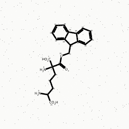 NC(CCCC(N)(C(=O)O)C(=O)OCC1c2ccccc2-c2ccccc21)C(=O)O